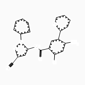 Cc1cc(Cl)c(C(=O)Nc2cc(C#N)nn2-c2ccccc2)cc1-c1ccccn1